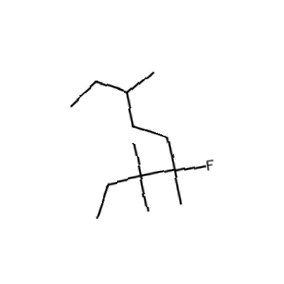 CCC(C)CCC(C)(F)C(C)(C)CC